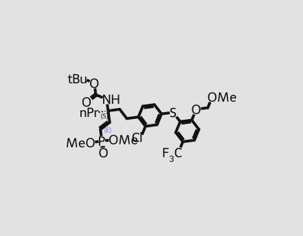 CCC[C@@](/C=C/P(=O)(OC)OC)(CCc1ccc(Sc2cc(C(F)(F)F)ccc2OCOC)cc1Cl)NC(=O)OC(C)(C)C